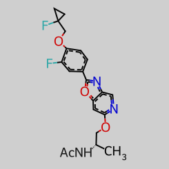 CC(=O)N[C@@H](C)COc1cc2oc(-c3ccc(OCC4(F)CC4)c(F)c3)nc2cn1